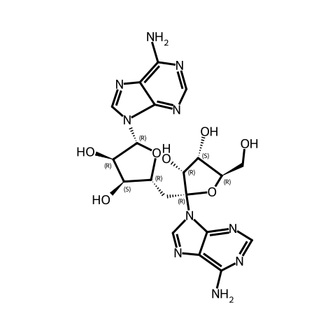 Nc1ncnc2c1ncn2[C@@H]1O[C@H](C[C@@]2(n3cnc4c(N)ncnc43)O[C@H](CO)[C@@H](O)[C@H]2O)[C@@H](O)[C@H]1O